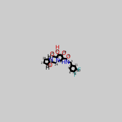 O=C(NCc1ccc(F)c(F)c1)c1cn2c(c(O)c1=O)C(=O)N1C(C2)O[C@H]2CC[C@@H]1C2